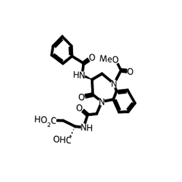 COC(=O)N1C[C@H](NC(=O)c2ccccc2)C(=O)N(CC(=O)N[C@H](C=O)CC(=O)O)c2ccccc21